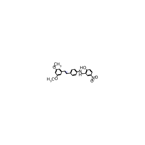 COc1cc(/C=C/c2ccc(NCc3cc([N+](=O)[O-])ccc3O)cc2)cc(OC)c1